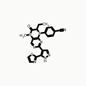 CCC1C(=O)N(C)c2cnc(-c3cn[nH]c3-c3nccs3)nc2N1c1ccc(C#N)cc1